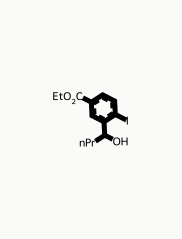 CCCC(O)c1cc(C(=O)OCC)ccc1I